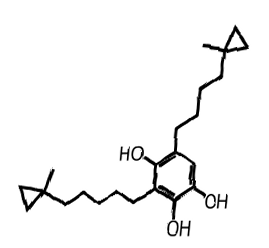 CC1(CCCCCc2c(O)c(O)cc(CCCCC3(C)CC3)c2O)CC1